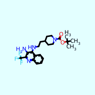 CC(C)(C)OC(=O)N1CCC(CCNc2c(N)c(C(F)(F)F)nc3ccccc23)CC1